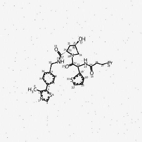 Cc1ncsc1-c1ccc(CNC(=O)[C@@H]2C[C@@H](O)CN2C(=O)C(NC(=O)CCC(C)C)c2cccs2)cc1